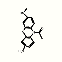 CNc1ccc2c(c1)Sc1cc(N)ccc1N2C(C)=O